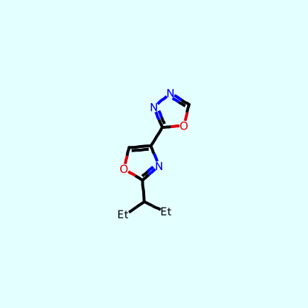 CCC(CC)c1nc(-c2nnco2)co1